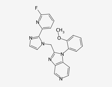 COc1ccccc1-n1c(Cn2ccnc2-c2cccc(F)n2)nc2cnccc21